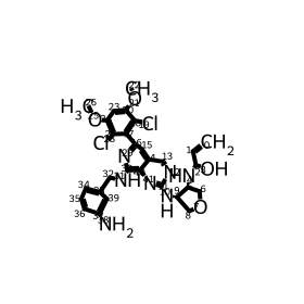 C=CC(O)N[C@H]1COC[C@H]1Nc1ncc2cc(-c3c(Cl)c(OC)cc(OC)c3Cl)nc(NCc3cccc(N)c3)c2n1